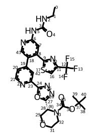 CCNC(=O)Nc1cc(-c2nc(C(F)(F)F)cs2)c(-c2ccnc(-c3nnc([C@H]4COCCN4C(=O)OC(C)(C)C)o3)c2)cn1